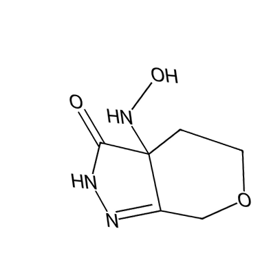 O=C1NN=C2COCCC12NO